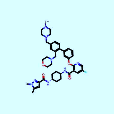 Cc1cc(C(=O)N[C@H]2CC[C@H](NC(=O)c3cc(F)cnc3Oc3cccc(-c4ccc(CN5CCN(C(C)C)CC5)cc4CN4CCOCC4)c3)CC2)nn1C